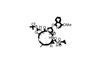 COc1cnc(O[C@@H]2C[C@H]3C(=O)N[C@]4(C(=O)NS(=O)(=O)C5CC5)C[C@H]4/C=C\[C@@H](C)CCC[C@@H](C)[C@H](NC(=O)OC(C)(C)C(F)(F)F)C(=O)N3C2)c2ccccc12